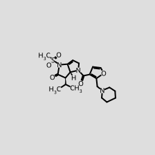 CC(C)[C@H]1C(=O)N(S(C)(=O)=O)C2=CCN(C(=O)c3ccoc3CN3CCCCC3)[C@@H]21